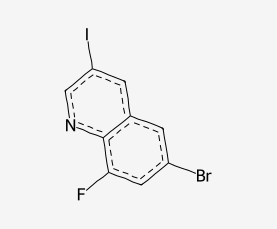 Fc1cc(Br)cc2cc(I)cnc12